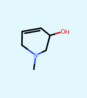 CN1CC=CC(O)C1